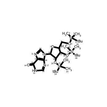 CC(C)(C)[Si](C)(C)OCC1OC(n2cnc3c(=O)[nH]cnc32)C(O[Si](C)(C)C(C)(C)C)C1O[Si](C)(C)C(C)(C)C